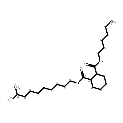 CCCCCCOC(=O)C1CCCCC1C(=O)OCCCCCCCCC(C)C